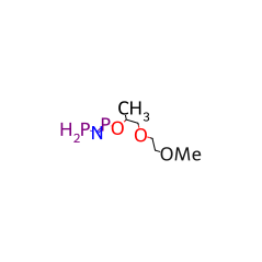 COCCOCC(C)OP=NP